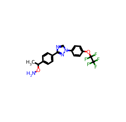 CC(ON)c1ccc(-c2ncn(-c3ccc(OC(F)(F)C(F)(F)F)cc3)n2)cc1